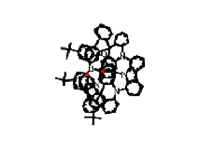 CC(C)(C)c1ccc2c(c1)B1c3c(cc(-n4c5c(N6c7ccccc7C7(c8ccccc8-c8ccccc87)c7ccccc76)cccc5c5cccc(N6c7ccccc7C7(c8ccccc8-c8ccccc87)c7ccccc76)c54)cc3-n3c4ccc(C(C)(C)C)cc4c4cc(C(C)(C)C)cc1c43)O2